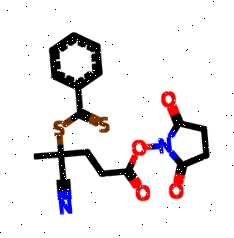 CC(C#N)(CCC(=O)ON1C(=O)CCC1=O)SC(=S)c1ccccc1